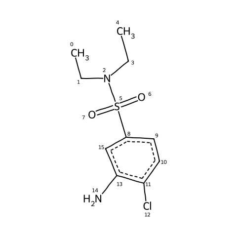 CCN(CC)S(=O)(=O)c1ccc(Cl)c(N)c1